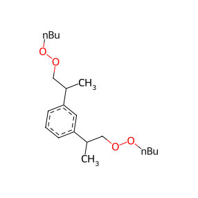 CCCCOOCC(C)c1cccc(C(C)COOCCCC)c1